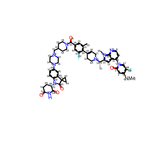 CNc1cc(=O)n(-c2ccnc3c2cc([C@H](C)N2CC=C(c4c(C)cc(C(=O)N5CCC(CN6CCN(c7ccc8c(c7)C7(CC7)C(=O)N8[C@H]7CCC(=O)NC7=O)CC6)CC5)cc4F)CC2)n3C)cc1F